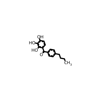 CCCCc1ccc(C(=O)c2ccc(O)c(O)c2O)cc1